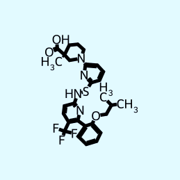 CC(C)COc1ccccc1-c1nc(NSc2cccc(N3CCC[C@@](C)(C(=O)O)C3)n2)ccc1C(F)(F)F